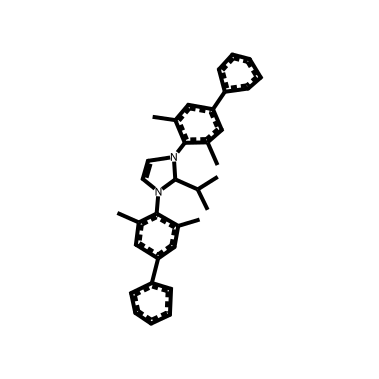 Cc1cc(-c2ccccc2)cc(C)c1N1C=CN(c2c(C)cc(-c3ccccc3)cc2C)C1C(C)C